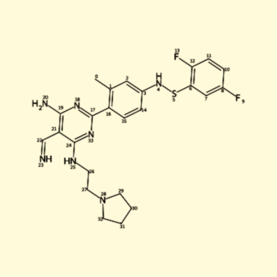 Cc1cc(NSc2cc(F)ccc2F)ccc1-c1nc(N)c(C=N)c(NCCN2CCCC2)n1